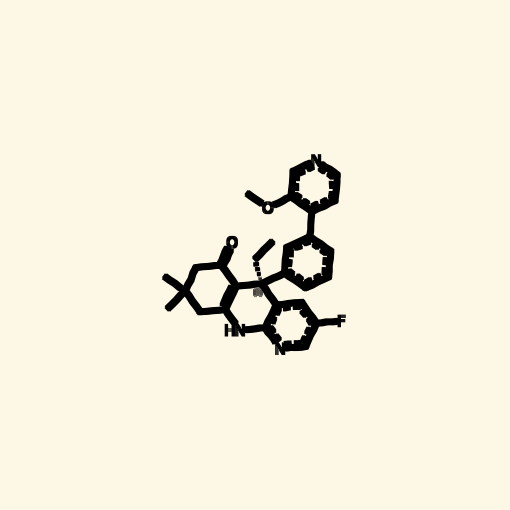 CC[C@@]1(c2cccc(-c3ccncc3OC)c2)C2=C(CC(C)(C)CC2=O)Nc2ncc(F)cc21